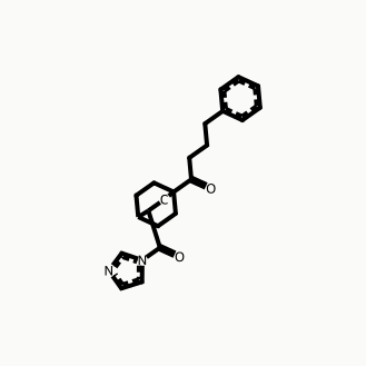 O=C(C1CC2(C(=O)CCCc3ccccc3)CCC1CC2)n1ccnc1